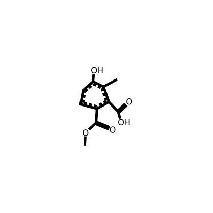 COC(=O)c1ccc(O)c(C)c1C(=O)O